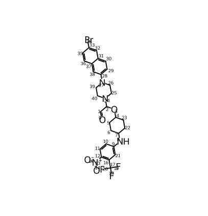 O=CC(OC1CCC(Nc2ccc([N+](=O)[O-])c(C(F)(F)F)c2)CC1)N1CCN(c2ccc3cc(Br)ccc3c2)CC1